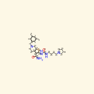 Cc1cc(C)cc(CN2CCc3c(sc(NC(=O)NCCCCN4CCCC4)c3C(N)=O)C2)c1